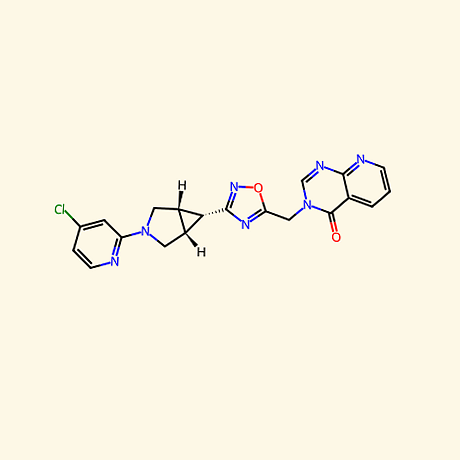 O=c1c2cccnc2ncn1Cc1nc([C@@H]2[C@@H]3CN(c4cc(Cl)ccn4)C[C@@H]32)no1